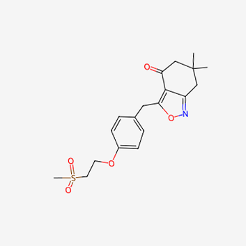 CC1(C)CC(=O)c2c(noc2Cc2ccc(OCCS(C)(=O)=O)cc2)C1